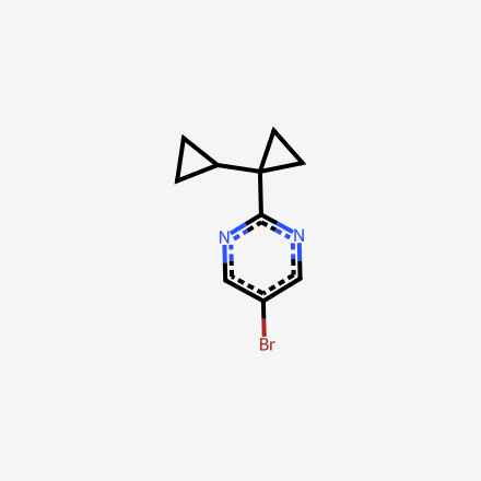 Brc1cnc(C2(C3CC3)CC2)nc1